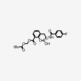 CC(C)(C)C(=O)OCOC(=O)c1cccc2c1OB(O)[C@@H](NC(=O)c1ccc(F)cc1)C2